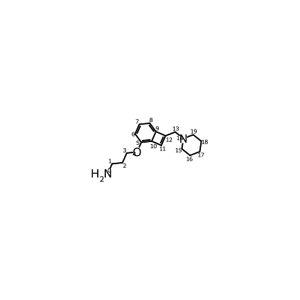 NCCCOc1cccc2c1C=C2CN1CCCCC1